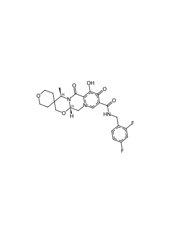 C[C@H]1N2C(=O)c3c(O)c(=O)c(C(=O)NCc4ccc(F)cc4F)cn3C[C@@H]2OCC12CCOCC2